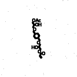 C=CC(=O)OCC(O)COCC1CCC(COCC(O)COC(C)=O)CC1